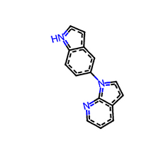 c1cnc2c(c1)ccn2-c1ccc2[nH]ccc2c1